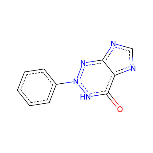 O=c1[nH]n(-c2ccccc2)nc2ncnc1-2